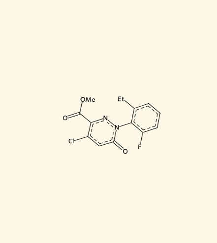 CCc1cccc(F)c1-n1nc(C(=O)OC)c(Cl)cc1=O